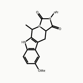 CCCN1C(=O)C2Cc3c([nH]c4ccc(OC)cc34)C(C)N2C1=O